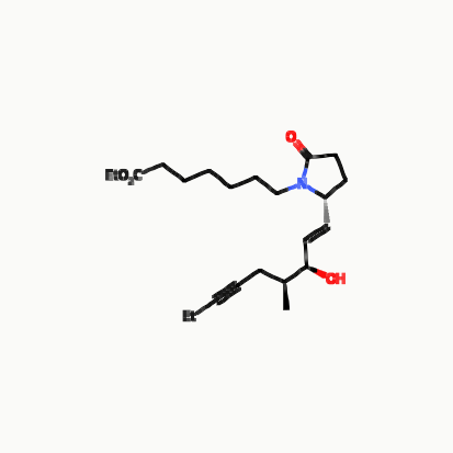 CCC#CC[C@H](C)[C@H](O)C=C[C@H]1CCC(=O)N1CCCCCCC(=O)OCC